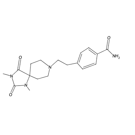 CN1C(=O)N(C)C2(CCN(CCc3ccc(C(N)=O)cc3)CC2)C1=O